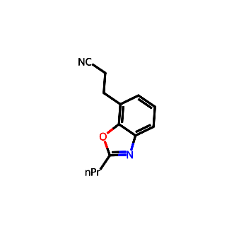 CCCc1nc2cccc(CCC#N)c2o1